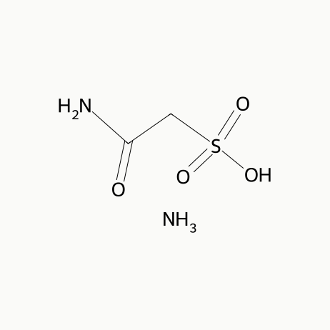 N.NC(=O)CS(=O)(=O)O